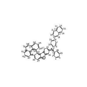 c1ccc(N(c2ccc(-c3ccc4ccccc4c3)cc2)c2ccc3c(c2)oc2cccc(-c4cccc5ccc6ccccc6c45)c23)cc1